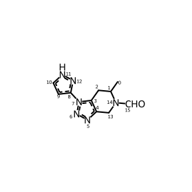 CC1Cc2c(nnn2-c2cc[nH]n2)CN1C=O